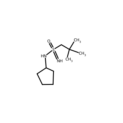 CC(C)(C)CS(=N)(=O)NC1CCCC1